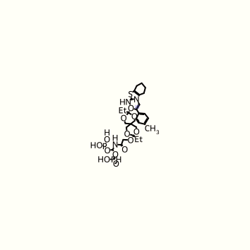 CCC1(OCC(=O)NC(OP(O)O)O[PH](=O)O)OCC2(CO1)COC(CC)(O/C(=C\n1c3c(sc1=N)CCCC3)c1ccc(C)cc1)OC2